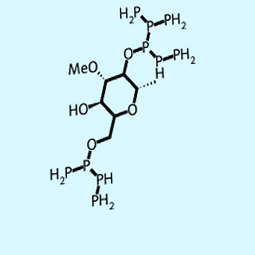 CO[C@@H]1C(OP(PP)P(P)P)[C@H](C)OC(COP(P)PP)[C@H]1O